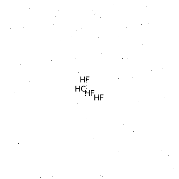 F.F.F.[CH]